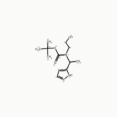 CC(c1ccn[nH]1)N(CCO)C(=O)OC(C)(C)C